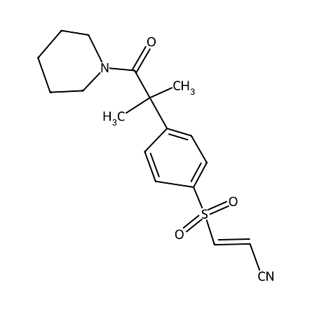 CC(C)(C(=O)N1CCCCC1)c1ccc(S(=O)(=O)C=CC#N)cc1